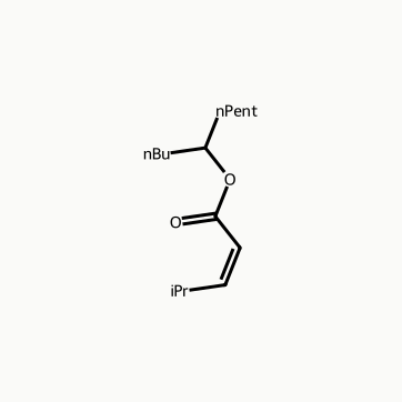 CCCCCC(CCCC)OC(=O)/C=C\C(C)C